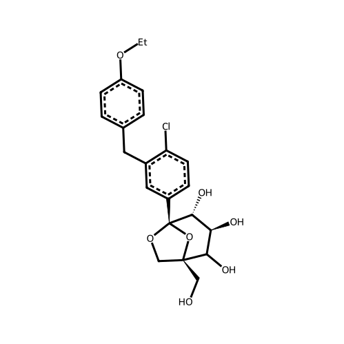 CCOc1ccc(Cc2cc([C@]34OC[C@](CO)(O3)C(O)[C@H](O)[C@H]4O)ccc2Cl)cc1